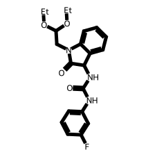 CCOC(CN1C(=O)C(NC(=O)Nc2cccc(F)c2)c2ccccc21)OCC